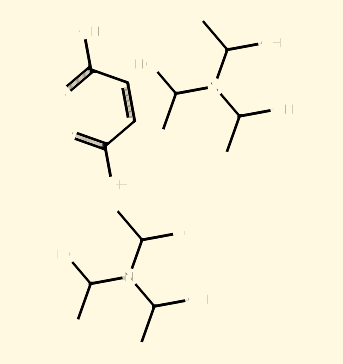 CC(O)N(C(C)O)C(C)O.CC(O)N(C(C)O)C(C)O.O=C(O)/C=C\C(=O)O